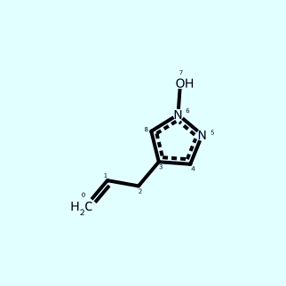 C=CCc1cnn(O)c1